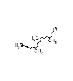 CC(=CCC#C[SiH3])CCCC(C)CCCC(C)CCCC(C)C